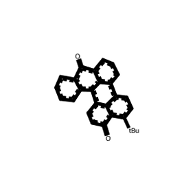 CC(C)(C)c1ccc2c3cccc4c(=O)c5ccccc5c(c5ccc(=O)c1c25)c43